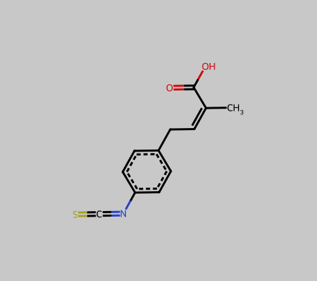 CC(=CCc1ccc(N=C=S)cc1)C(=O)O